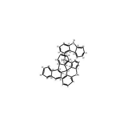 c1ccc2c(c1)Sc1cccc(Nc3cccc4sc5ccccc5c34)c1C21c2ccccc2-c2c1ccc1ccccc21